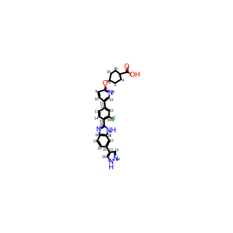 O=C(O)C1CCC(Oc2ccc(-c3ccc(-c4nc5ccc(-c6cn[nH]c6)cc5[nH]4)c(F)c3)cn2)CC1